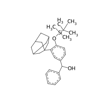 CC(C)(C)[Si](C)(C)Oc1ccc(C(O)c2ccccc2)cc1C12CC3CC(CC(C3)C1)C2